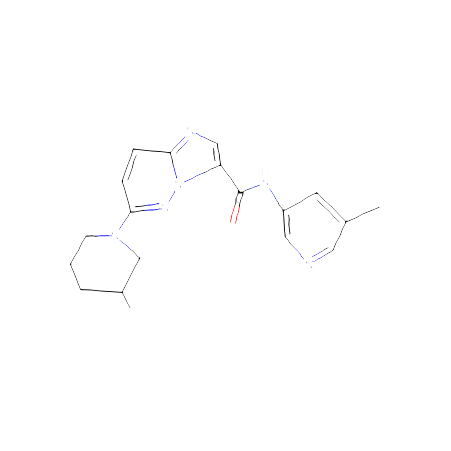 Cc1cncc(NC(=O)c2cnc3ccc(N4CCCC(C(F)(F)F)C4)nn23)c1